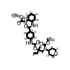 C=CC(C)(CN(C(=O)OC(C)(C)C)C1CCOCC1)OC(=O)Nc1ccc(C(=O)Nc2ccccc2NC(=O)OC(C)(C)C)cc1